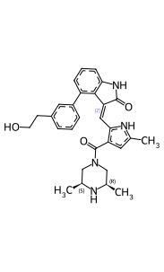 Cc1cc(C(=O)N2C[C@@H](C)N[C@@H](C)C2)c(/C=C2\C(=O)Nc3cccc(-c4cccc(CCO)c4)c32)[nH]1